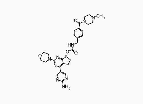 CN1CCN(C(=O)c2ccc(CNC(=O)ON3CCc4c(-c5cnc(N)nc5)nc(N5CCOCC5)nc43)cc2)CC1